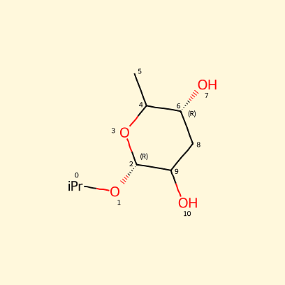 CC(C)O[C@@H]1OC(C)[C@H](O)CC1O